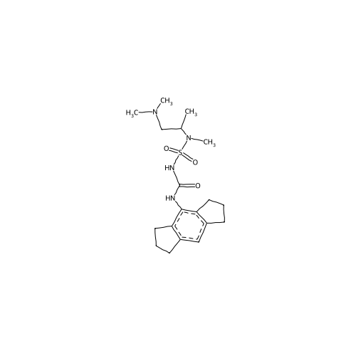 CC(CN(C)C)N(C)S(=O)(=O)NC(=O)Nc1c2c(cc3c1CCC3)CCC2